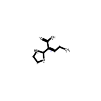 CC/C=C(\C(=O)O)C1NCCO1